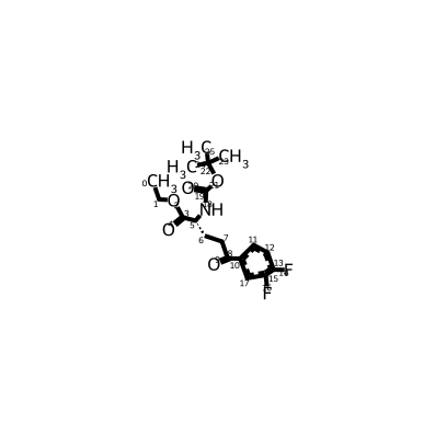 CCOC(=O)[C@@H](CCC(=O)c1ccc(F)c(F)c1)NC(=O)OC(C)(C)C